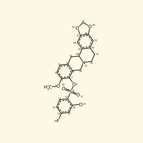 COc1ccc2c(c1OS(=O)(=O)c1ccc(F)cc1Cl)CN1CCc3cc4c(cc3C1C2)OCO4